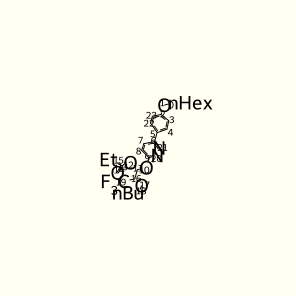 CCCCCCOc1ccc(-c2ccc(OC(OC(=O)CC)C(OCCCC)C(F)(F)F)nn2)cc1